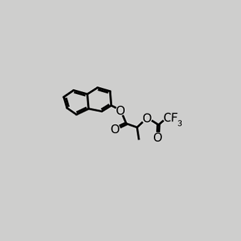 CC(OC(=O)C(F)(F)F)C(=O)Oc1ccc2ccccc2c1